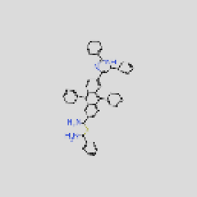 NC(SC(N)c1ccc2c(-c3ccccc3)c3cc(C4=CC(C5C=CC=CC5)NC(c5ccccc5)=N4)ccc3c(-c3ccccc3)c2c1)c1ccccc1